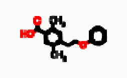 Cc1cc(C(=O)O)c(C)cc1CCOc1ccccc1